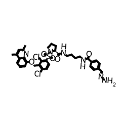 Cc1cc(C)c2cccc(OCc3c(Cl)ccc(S(=O)(=O)N4CCC[C@H]4C(=O)NCCCCNC(=O)c4ccc(C=NN)cc4)c3Cl)c2n1